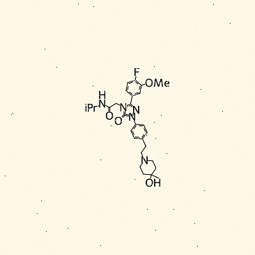 COc1cc(-c2nn(-c3ccc(CCN4CCC(C)(O)CC4)cc3)c(=O)n2CC(=O)NC(C)C)ccc1F